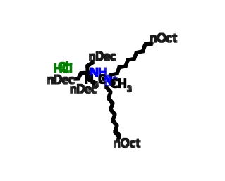 CCCCCCCCC=CCCCCCCCC[N+](C)(C)CCCCCCCCC=CCCCCCCCC.CCCCCCCCCCCCC(N)(CCCCCCCCCCCC)CCCCCCCCCCCC.Cl.[Cl-]